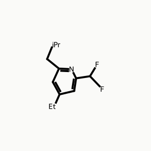 CCc1cc(CC(C)C)nc(C(F)F)c1